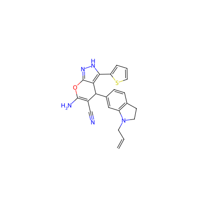 C=CCN1CCc2ccc(C3C(C#N)=C(N)Oc4n[nH]c(-c5cccs5)c43)cc21